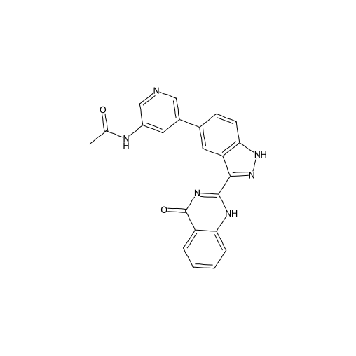 CC(=O)Nc1cncc(-c2ccc3[nH]nc(-c4nc(=O)c5ccccc5[nH]4)c3c2)c1